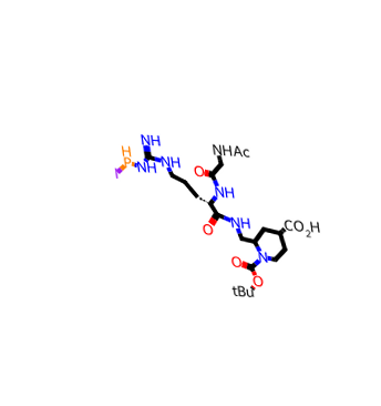 CC(=O)NCC(=O)N[C@@H](CCCNC(=N)NPI)C(=O)NCC1CC(C(=O)O)CCN1C(=O)OC(C)(C)C